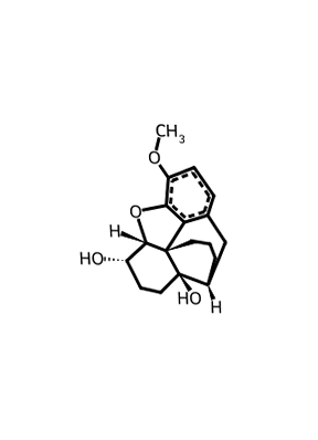 COc1ccc2c3c1O[C@H]1[C@@H](O)CC[C@@]4(O)[C@H](CCC[C@]314)C2